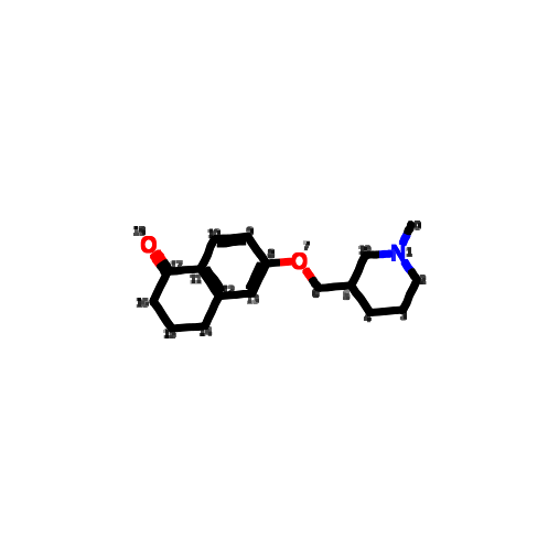 CN1CCCC(COc2ccc3c(c2)CCCC3=O)C1